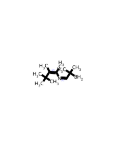 BC(C)(C)/C=N\C(C)=C(\C)C(C)(C)C